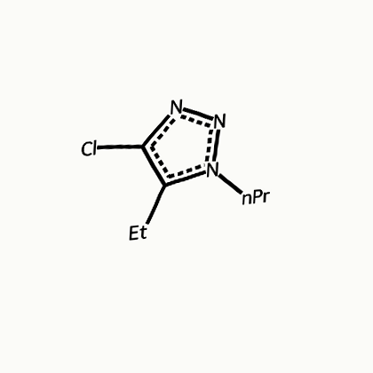 CCCn1nnc(Cl)c1CC